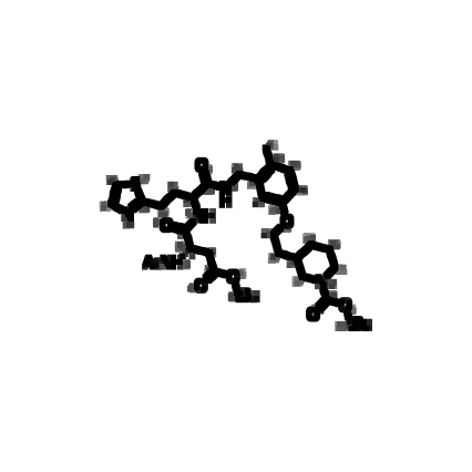 CC(=O)N[C@@H](CC(=O)OC(C)(C)C)C(=O)NC(CCc1nccs1)C(=O)NCc1cc(OCCC2CCCN(C(=O)OC(C)(C)C)C2)ccc1C